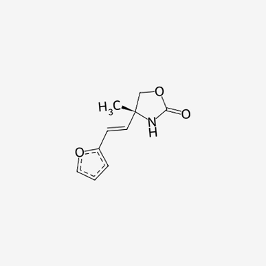 C[C@@]1(/C=C/c2ccco2)COC(=O)N1